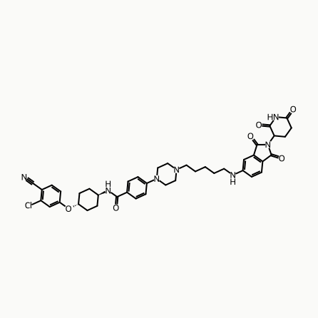 N#Cc1ccc(O[C@H]2CC[C@H](NC(=O)c3ccc(N4CCN(CCCCCNc5ccc6c(c5)C(=O)N(C5CCC(=O)NC5=O)C6=O)CC4)cc3)CC2)cc1Cl